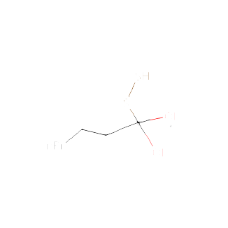 CCCCCC(O)(O)SS